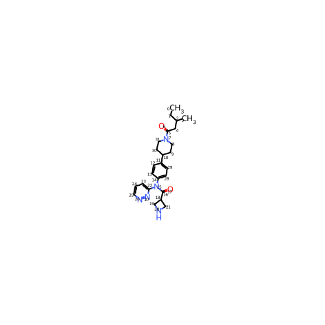 CCC(C)CC(=O)N1CCC(c2ccc(N(C(=O)C3CNC3)c3cccnn3)cc2)CC1